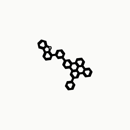 c1ccc(-c2cc3c4ccccc4c4cccc5c6cc(-c7cccc(-c8cccc9c8oc8ccccc89)c7)ccc6c(c2)c3c45)cc1